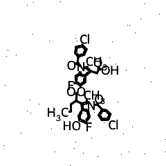 CCCC(C(=O)Oc1cc2c(CC(=O)O)c(C)n(C(=O)c3ccc(Cl)cc3)c2cc1F)c1c(C)n(C(=O)c2ccc(Cl)cc2)c2cc(F)c(O)cc12